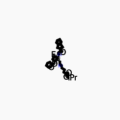 CC(C)OC(=O)CCC/C=C/C[C@@H]1[C@@H](/C=C/C(=O)C2Cc3ccccc3C2)[C@@H](F)C[C@@H]1OC1CCCCO1